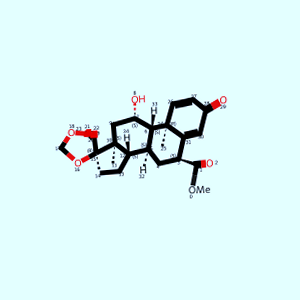 COC(=O)[C@H]1C[C@@H]2[C@H]([C@@H](O)C[C@@]3(C)[C@H]2CC[C@@]32OCOC23COCO3)[C@@]2(C)C=CC(=O)C=C12